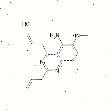 C=CCc1nc(CC=C)c2c(N)c(NC)ccc2n1.Cl